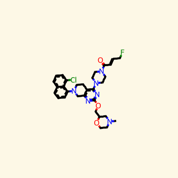 CN1CCOC(COc2nc3c(c(N4CCN(C(=O)/C=C/CF)CC4)n2)CCN(c2cccc4cccc(Cl)c24)C3)C1